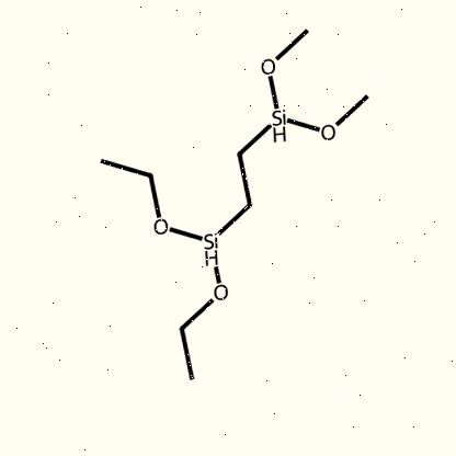 CCO[SiH](CC[SiH](OC)OC)OCC